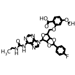 CCNC(=O)Nc1ncnc2c1ncn2C1OC(COc2cc(OC)ccc2C(=O)O)C2OC(c3ccc(F)cc3)OC21